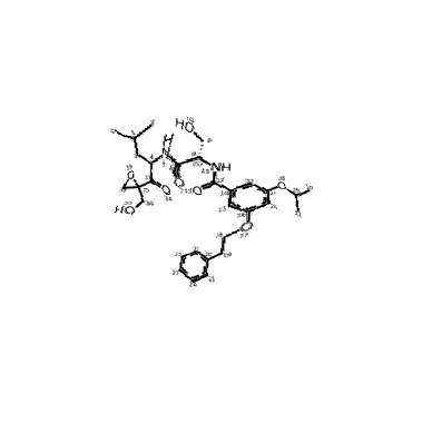 CC(C)CC(NC(=O)[C@H](CO)NC(=O)c1cc(OCCc2ccccc2)cc(OC(C)C)c1)C(=O)C1(CO)CO1